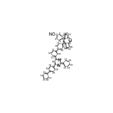 N#Cc1ccc2c(c1)-c1cc(-c3cccc(-c4cc(-c5ccc(-c6ccccc6)cc5)nc(-c5ccccc5)n4)c3)ccc1C21c2ccccc2Oc2ccccc21